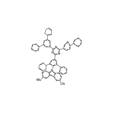 CC(C)(C)c1ccc2c(c1)c1cc(C#N)ccc1n2-c1c(-c2ccccc2)cc(-c2nc(-c3ccc(-c4ccccc4)cc3)nc(-c3cc(C4=CC=CCC4)cc(-c4ccccc4)c3)n2)cc1C1C=CC=CC1